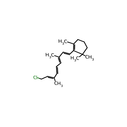 CC(C=CC1=C(C)CCCC1(C)C)=CC=CC(C)=CCCl